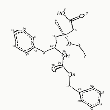 CCOP(=O)(CC(=O)O)CC(Cc1ccccc1)NC(=O)OCc1ccccc1